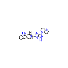 N[C@@H]1c2ccccc2C[C@]12CC1CC3(c4cnc5c(N6CCCc7ncccc76)n[nH]c5n4)C[C@@H](C2)N13